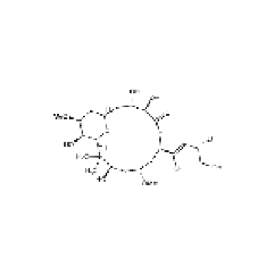 CC[C@@H](/C=C(\C)[C@H]1C[C@H](OC)C[C@@H](O)C(C)(C)[C@]2(O)O[C@@H](C[C@H](OC)[C@@H]2O)C[C@H](O)[C@@H](O)C(=O)O1)CO